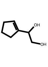 OCC(O)C1=CCCC1